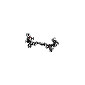 N#C[C@@H]1CC(F)(F)CN1C(=O)CNC(=O)c1ccncc1-c1ccc(OCCCNCCCOc2ccc(-c3cnccc3C(=O)NCC(=O)N3CC(F)(F)C[C@H]3C#N)cc2)cc1